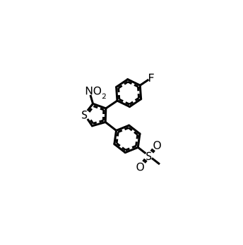 CS(=O)(=O)c1ccc(-c2csc([N+](=O)[O-])c2-c2ccc(F)cc2)cc1